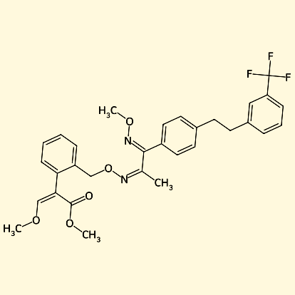 COC=C(C(=O)OC)c1ccccc1CON=C(C)C(=NOC)c1ccc(CCc2cccc(C(F)(F)F)c2)cc1